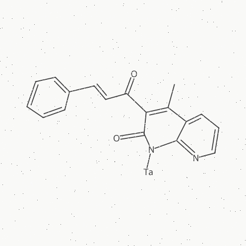 Cc1c(C(=O)/C=C/c2ccccc2)c(=O)[n]([Ta])c2ncccc12